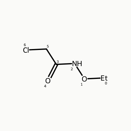 CCONC(=O)CCl